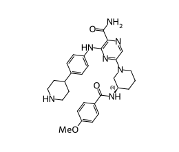 COc1ccc(C(=O)N[C@@H]2CCCN(c3cnc(C(N)=O)c(Nc4ccc(C5CCNCC5)cc4)n3)C2)cc1